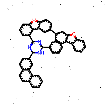 c1ccc(C2=NC(c3cccc4oc5ccc(-c6ccc7c(c6)oc6ccccc67)cc5c34)=NC(c3ccc4ccc5ccccc5c4c3)N2)cc1